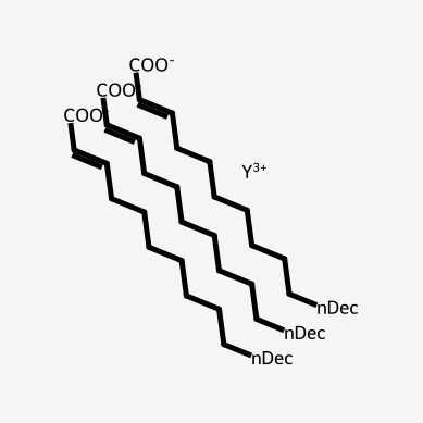 CCCCCCCCCCCCCCCCCC=CC(=O)[O-].CCCCCCCCCCCCCCCCCC=CC(=O)[O-].CCCCCCCCCCCCCCCCCC=CC(=O)[O-].[Y+3]